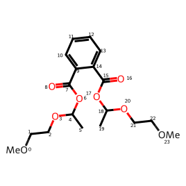 COCCOC(C)OC(=O)c1ccccc1C(=O)OC(C)OCCOC